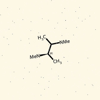 CNC(C)[C@@H](C)NC